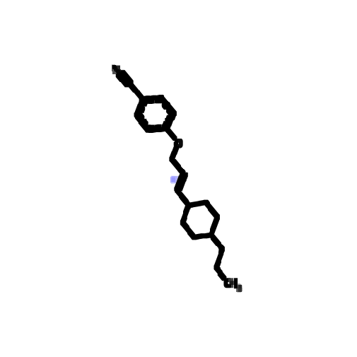 CCCC1CCC(/C=C/COc2ccc(C#N)cc2)CC1